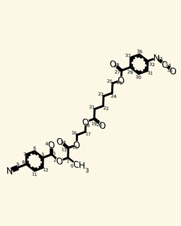 CC(OC(=O)c1ccc(C#N)cc1)C(=O)OCCOC(=O)CCCCCOC(=O)c1ccc(N=C=O)cc1